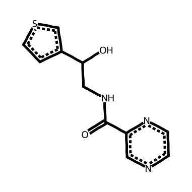 O=C(NCC(O)c1ccsc1)c1cnccn1